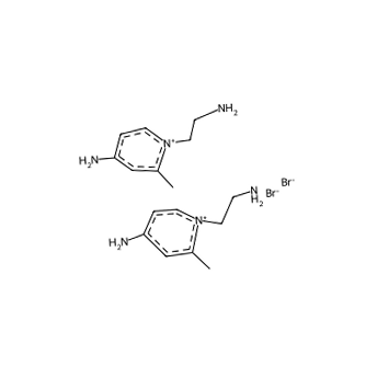 Cc1cc(N)cc[n+]1CCN.Cc1cc(N)cc[n+]1CCN.[Br-].[Br-]